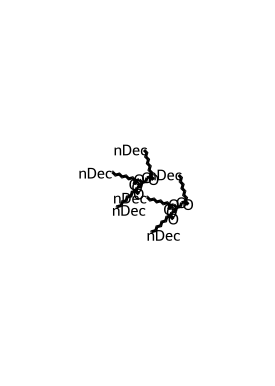 CCCCCCCCCCCCCCCCCC(=O)OCC(COC(=O)CCCCCCCCCCCCCCCCC)OC(=O)CCCCCCCCCCCCCCCCC.CCCCCCCCCCCCCCCCCC(=O)OCC(COC(=O)CCCCCCCCCCCCCCCCC)OC(=O)CCCCCCCCCCCCCCCCC